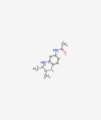 CC(=O)Nc1ccc2c(c1)NC(C)C(C)C2